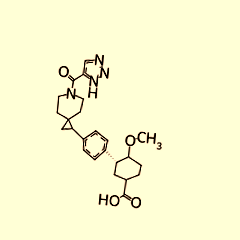 COC1CCC(C(=O)O)C[C@@H]1c1ccc(C2CC23CCN(C(=O)c2cnn[nH]2)CC3)cc1